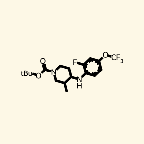 CC1CN(C(=O)OC(C)(C)C)CCC1Nc1ccc(OC(F)(F)F)cc1F